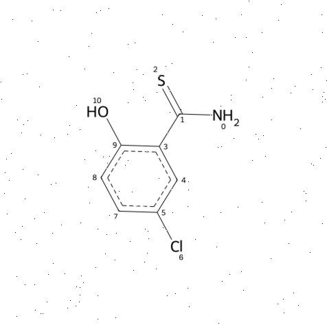 NC(=S)c1cc(Cl)ccc1O